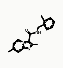 Cc1ccn2c(C(=O)NCc3ccccc3C)c(C)nc2c1